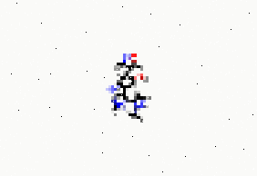 COc1cc2c(cc1-c1c(C)noc1C)[nH]c1nc(C)nc(-c3ccnn3C(C)C)c12